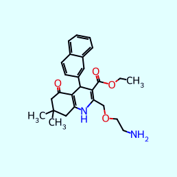 CCOC(=O)C1=C(COCCN)NC2=C(C(=O)CC(C)(C)C2)C1c1ccc2ccccc2c1